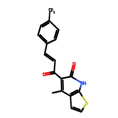 Cc1c(C(=O)/C=C/c2ccc(C(F)(F)F)cc2)c(=O)[nH]c2sccc12